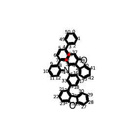 c1ccc(-c2ccc(-c3ccccc3N(c3cccc(-c4cccc5oc6ccccc6c45)c3)c3cccc4oc5ccccc5c34)cc2)cc1